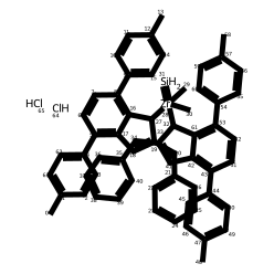 Cc1ccc(-c2ccc(-c3ccc(C)cc3)c3c2C=C(Cc2ccccc2)[CH]3[Zr]([CH3])([CH3])(=[SiH2])[CH]2C(Cc3ccccc3)=Cc3c(-c4ccc(C)cc4)ccc(-c4ccc(C)cc4)c32)cc1.Cl.Cl